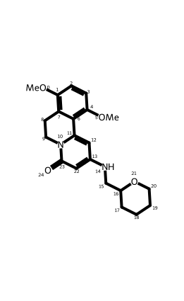 COc1ccc(OC)c2c1CCn1c-2cc(NCC2CCCCO2)cc1=O